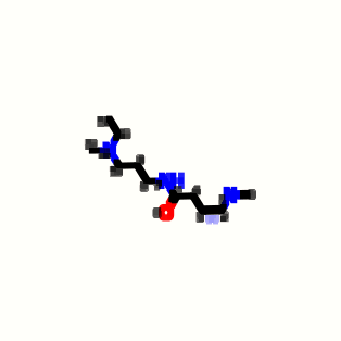 C=N/C=C\CC(=O)NCCCN(C)CC